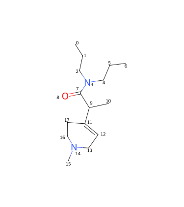 CCCN(CCC)C(=O)C(C)C1=CCN(C)CC1